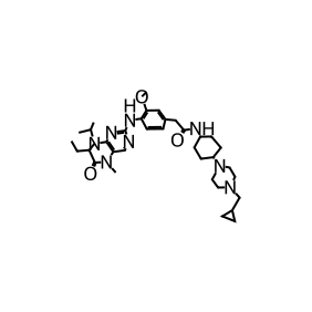 CCC1C(=O)N(C)c2cnc(Nc3ccc(CC(=O)N[C@H]4CC[C@H](N5CCN(CC6CC6)CC5)CC4)cc3OC)nc2N1C(C)C